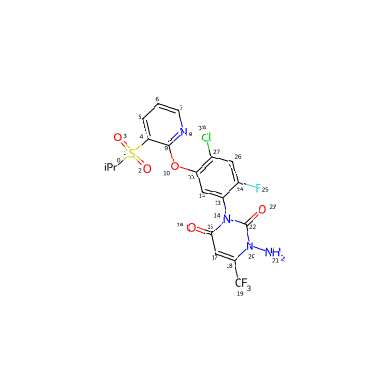 CC(C)S(=O)(=O)c1cccnc1Oc1cc(-n2c(=O)cc(C(F)(F)F)n(N)c2=O)c(F)cc1Cl